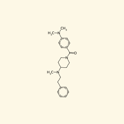 CN(C)c1ccc(C(=O)N2CCC(N(C)CCc3ccccc3)CC2)cc1